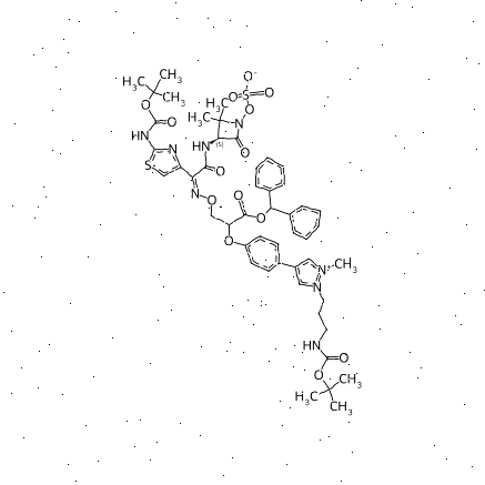 C[n+]1cc(-c2ccc(OC(CON=C(C(=O)N[C@@H]3C(=O)N(OS(=O)(=O)[O-])C3(C)C)c3csc(NC(=O)OC(C)(C)C)n3)C(=O)OC(c3ccccc3)c3ccccc3)cc2)cn1CCCNC(=O)OC(C)(C)C